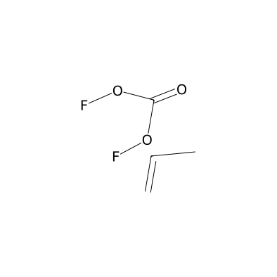 C=CC.O=C(OF)OF